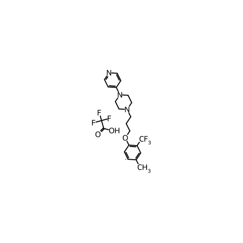 Cc1[c]cc(OCCCN2CCN(c3ccncc3)CC2)c(C(F)(F)F)c1.O=C(O)C(F)(F)F